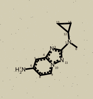 CN(c1nc2cc(N)ccn2n1)C1CC1